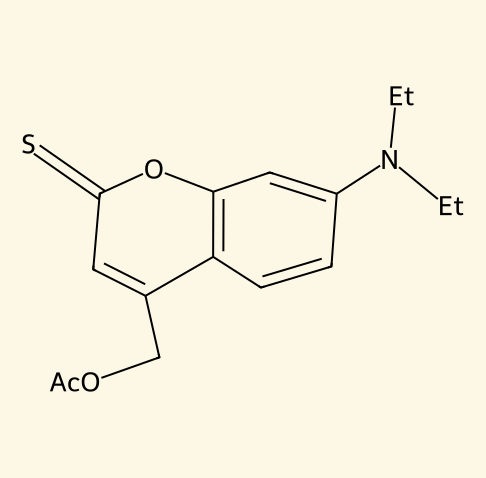 CCN(CC)c1ccc2c(COC(C)=O)cc(=S)oc2c1